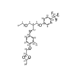 CCOCC(COc1ccc(C(F)(F)F)cc1)CSc1ccc(OCC2OC(C)O2)c(C)c1